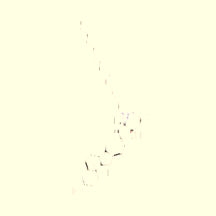 CCCCCOCCOCCOCCN1C[C@@H](C)C[C@H]2O[C@]3(CC[C@@H]4C(=C(C)C3)C[C@H]3C4CC=C4C[C@@H](O)CCC43C)[C@H](C)[C@@H]21